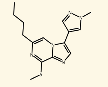 CCCCc1cn2c(-c3cnn(C)c3)cnc2c(SC)n1